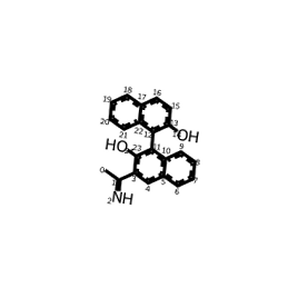 CC(=N)c1cc2ccccc2c(-c2c(O)ccc3ccccc23)c1O